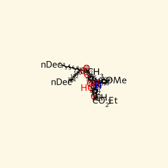 CCCCCCCCCCCCCCCCCCC(CCCCCCCCCCCCCCCC)COC(=O)C(C)Oc1ccc(-c2nc(-c3ccc(OC)cc3)nc(-c3ccc(OC(C)C(=O)OCC)cc3O)n2)c(O)c1